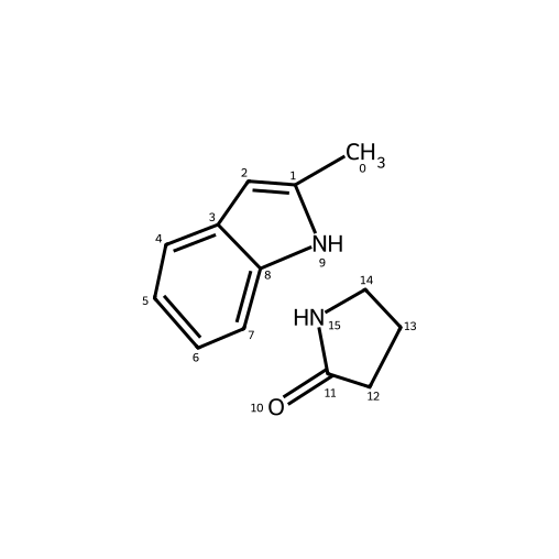 Cc1cc2ccccc2[nH]1.O=C1CCCN1